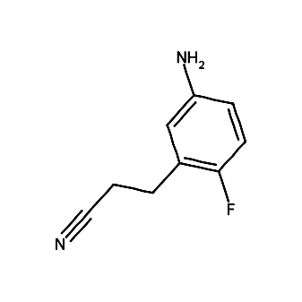 N#CCCc1cc(N)ccc1F